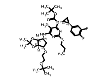 CCCSc1nc(N[C@@H]2C[C@H](OCCOC(C)(C)C)[C@H]3OC(C)(C)O[C@H]32)c(N)c(N(C(=O)OC(C)(C)C)[C@@H]2C[C@H]2c2ccc(F)c(F)c2)n1